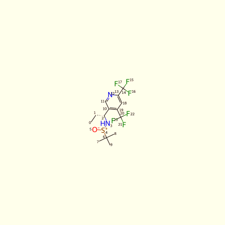 CC[C@@H](N[S+]([O-])C(C)(C)C)c1cnc(C(F)(F)F)cc1C(F)(F)F